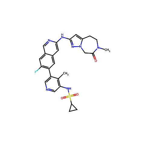 Cc1c(NS(=O)(=O)C2CC2)cncc1-c1cc2cc(Nc3cc4n(n3)CC(=O)N(C)CC4)ncc2cc1F